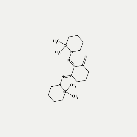 C[Si]1(C)CCCCN1N=C1CCCC(=O)C1=NN1CCCC[Si]1(C)C